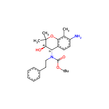 Cc1c(N)ccc2c1OC(C)(C)[C@H](O)[C@H]2N(CCc1ccccc1)C(=O)OC(C)(C)C